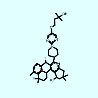 Cc1ccc(C(F)c2c(C3CCN(c4ncc(OCCC(C)(C)O)cn4)CC3)nc3c(c2C2CCC(F)(F)CC2)C(O)CC(C)(C)C3)cc1